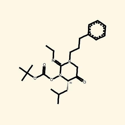 CCN=C1N(CCCc2ccccc2)CC(=O)[C@H](CC(C)C)N1OC(=O)OC(C)(C)C